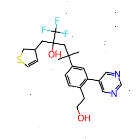 CC(C)(CC(O)(CC1C=CSC1)C(F)(F)F)c1ccc(CCO)c(-c2cncnc2)c1